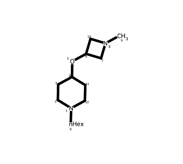 CCCCCCN1CCC(OC2CN(C)C2)CC1